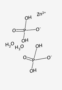 O.O.O=P([O-])(O)O.O=P([O-])(O)O.[Zn+2]